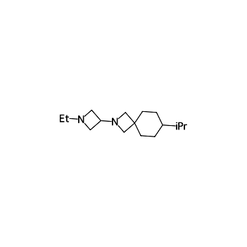 CCN1CC(N2CC3(CCC(C(C)C)CC3)C2)C1